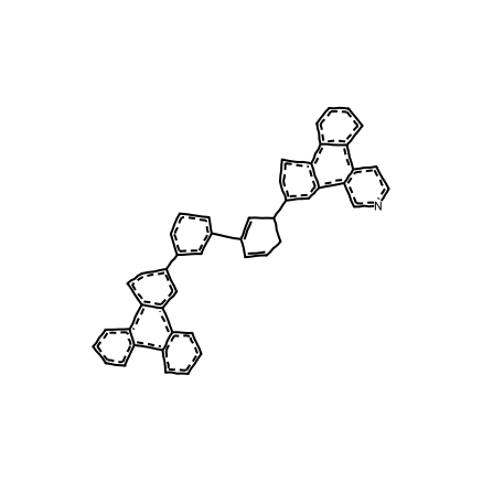 C1=CC(c2cccc(-c3ccc4c5ccccc5c5ccccc5c4c3)c2)=CC(c2ccc3c4ccccc4c4ccncc4c3c2)C1